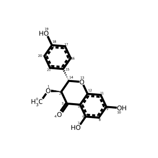 CO[C@@H]1C(=O)c2c(O)cc(O)cc2O[C@H]1c1ccc(O)cc1